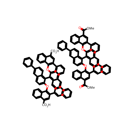 COC(=O)c1cc(-c2ccccc2)c(Oc2ccc3cc(-c4ccccc4)ccc3c2-c2c(Oc3c(-c4ccccc4)cc(C(=O)OC)c4ccccc34)ccc3cc(-c4ccccc4)ccc23)c2ccccc12.O=C(O)c1cc(-c2ccccc2)c(Oc2ccc3cc(-c4ccccc4)ccc3c2-c2c(Oc3c(-c4ccccc4)cc(C(=O)O)c4ccccc34)ccc3cc(-c4ccccc4)ccc23)c2ccccc12